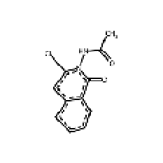 CC(=O)Nn1c(Cl)cc2ccccc2c1=O